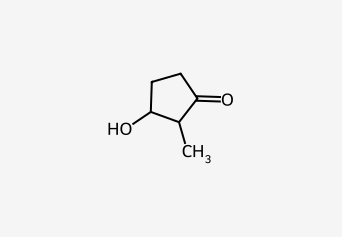 CC1C(=O)CCC1O